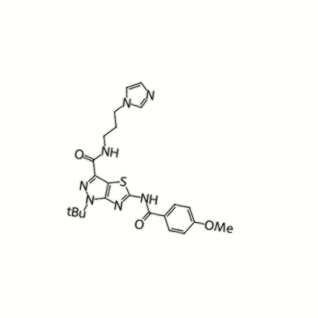 COc1ccc(C(=O)Nc2nc3c(s2)c(C(=O)NCCCn2ccnc2)nn3C(C)(C)C)cc1